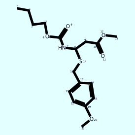 CCCCOC(=O)NC(CC(=O)OC)SCc1ccc(OC)cc1